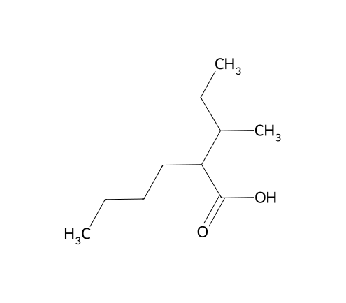 CCCCC(C(=O)O)C(C)CC